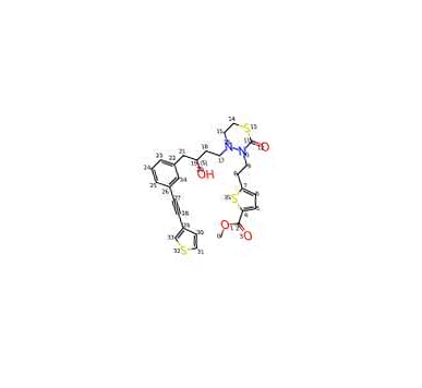 COC(=O)c1ccc(CCN2C(=O)SCCN2CC[C@@H](O)Cc2cccc(C#Cc3ccsc3)c2)s1